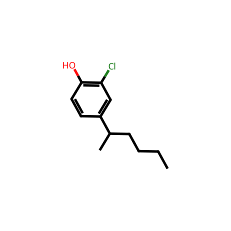 CCCCC(C)c1ccc(O)c(Cl)c1